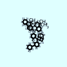 CC1(C)CCC(C)(C)c2c(N(c3ccc4c(c3)C(C)(C)c3ccccc3-4)c3ccc4c(c3)C3(c5cccc(-c6ccccc6)c5S4)C4CC5CC6CC3C64C5)cccc21